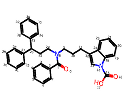 O=C(c1ccccc1)N(CCCc1cn(C(=O)O)c2ccccc12)CCC(c1ccccc1)c1ccccc1